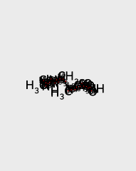 CN(CCCCCCCN(C)C1CCC(Nc2ncc(Cl)c(-c3cnn(C)c3CC3CC3)n2)CC1)Cc1ccc(OCc2scc3c2CN([C@H]2CCC(=O)NC2=O)C3=O)cc1